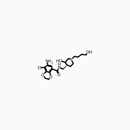 Nc1cc(C(=O)NC[C@@H]2CCN(CCCCO)CC2O)c2c(c1Cl)OCCO2